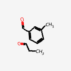 CCC=O.Cc1cccc(C=O)c1